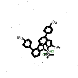 CCCC1=Cc2c(-c3ccc(C(C)CC)cc3)cccc2[CH]1[Zr]([Cl])([Cl])([CH]1C=Cc2c(-c3ccc(C(C)(C)C)cc3)cccc21)[SiH](C)C